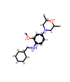 COc1cc(N2CC(C)OC(C)C2)ccc1NCC1CCCCC1